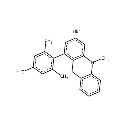 Br.Cc1cc(C)c(-c2cccc3c2Cc2ccccc2N3C)c(C)c1